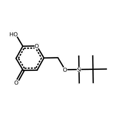 CC(C)(C)[Si](C)(C)OCc1cc(=O)cc(O)o1